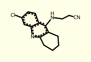 N#CCCNc1c2c(nc3cc(Cl)ccc13)CCCC2